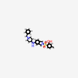 Cc1ccc(S(=O)(=O)N2Cc3ccc(NC4CCN(Cc5ccccc5)CC4)cc3C2)c(O)c1